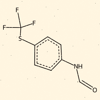 O=[C]Nc1ccc(SC(F)(F)F)cc1